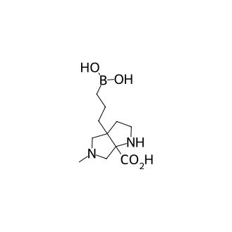 CN1CC2(CCCB(O)O)CCNC2(C(=O)O)C1